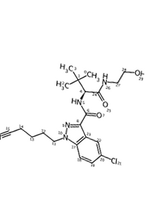 CC(C)(C)[C@H](NC(=O)c1nn(CCCCC#N)c2ccc(Cl)cc12)C(=O)NCCO